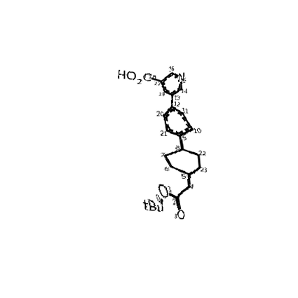 CC(C)(C)OC(=O)CC1CCC(c2ccc(-c3cncc(C(=O)O)c3)cc2)CC1